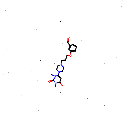 Cn1c(N2CCN(CCCOc3cccc(C=O)c3)CC2)cc(=O)n(C)c1=O